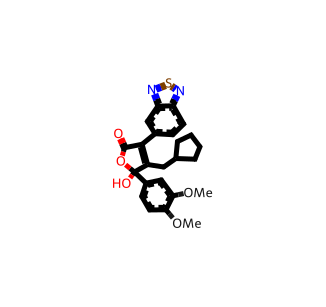 COc1ccc(C2(O)OC(=O)C(c3ccc4nsnc4c3)=C2CC2CCCC2)cc1OC